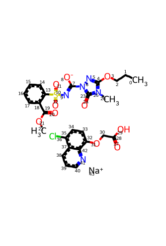 CCCOc1nn(/C([O-])=N/S(=O)(=O)c2ccccc2C(=O)OC)c(=O)n1C.O=C(O)COc1ccc(Cl)c2cccnc12.[Na+]